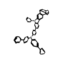 c1ccc(-c2ccc(N(c3ccc(-c4ccccc4)cc3)c3ccc(-c4ccc5c6cc7c(cc6n(-c6ccccc6)c5c4)C4CC5CC(C4)C7C5)cc3)cc2)cc1